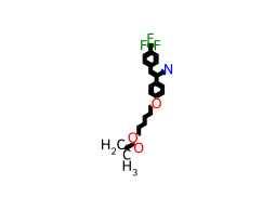 C=C(C)C(=O)OCCCCCCOc1ccc(/C(C#N)=C/c2ccc(C(F)(F)F)cc2)cc1